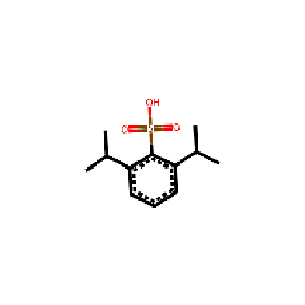 CC(C)c1cccc(C(C)C)c1S(=O)(=O)O